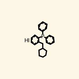 I.c1ccc(P(c2ccccc2)c2ccccc2CC2CCCCC2)cc1